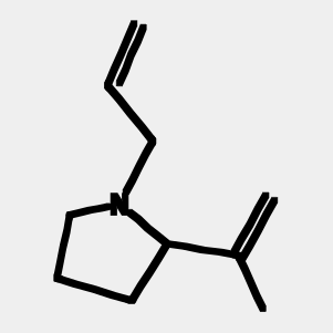 C=CCN1CCCC1C(=C)C